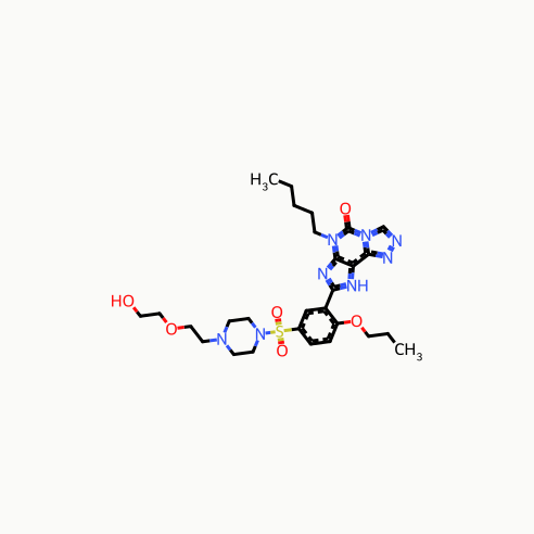 CCCCCn1c(=O)n2cnnc2c2[nH]c(-c3cc(S(=O)(=O)N4CCN(CCOCCO)CC4)ccc3OCCC)nc21